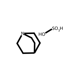 C1CN2CCC1CC2.O=S(=O)(O)O